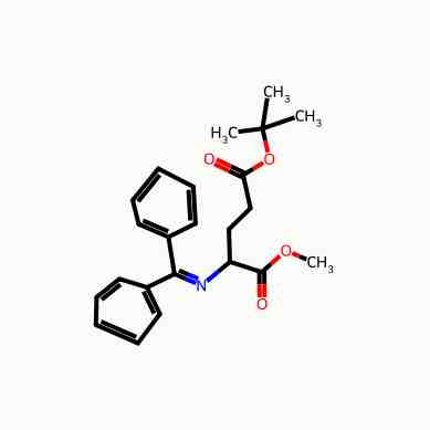 COC(=O)C(CCC(=O)OC(C)(C)C)N=C(c1ccccc1)c1ccccc1